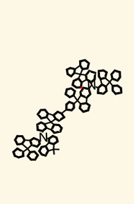 CC1(C)c2ccccc2-c2c(N(c3ccc4c(c3)-c3ccccc3C4(c3ccccc3)c3ccccc3)c3cccc4c3-c3ccccc3C43c4ccccc4-c4cc(-c5ccc(C6(c7ccccc7)c7ccccc7-c7cc(N(c8cccc9c8-c8ccccc8C9(c8ccccc8)c8ccccc8)c8cccc9c8-c8ccccc8C98c9ccccc9-c9ccccc98)ccc76)cc5)ccc43)cccc21